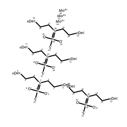 CCCCCCCCCCCCS(CCCCCCCCCCCC)=P([O-])([O-])[S-].CCCCCCCCCCCCS(CCCCCCCCCCCC)=P([O-])([O-])[S-].CCCCCCCCCCCCS(CCCCCCCCCCCC)=P([O-])([O-])[S-].CCCCCCCCCCCCS(CCCCCCCCCCCC)=P([O-])([O-])[S-].[Mo+4].[Mo+4].[Mo+4]